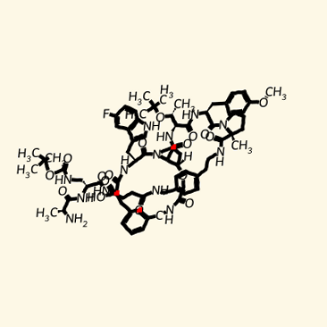 COc1ccc(C[C@H](NC(=O)[C@@H](NC(=O)C2[C@@H]3CCN2C(=O)[C@H](Cc2c[nH]c4ccc(F)cc24)NC(=O)C(NC(=O)[C@@H](CNC(=O)OC(C)(C)C)NC(=O)[C@H](C)N)Cc2cccc(c2)CNC(=O)CO3)[C@@H](C)OC(C)(C)C)C(=O)N2CCC[C@]2(C)C(=O)NCCc2ccc(CNC(=O)CCC(=O)O)cc2)cc1